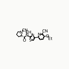 CCOc1ccc(-c2csc(N(C)C(=O)[C@@H]3CCCN3C#N)n2)nc1C#N